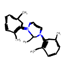 Cc1cccc(C)c1N1C=CN(c2c(C)cccc2C)C1C(C)C